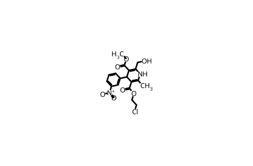 COC(=O)C1=C(CO)NC(C)=C(C(=O)OCCCl)C1c1cccc([N+](=O)[O-])c1